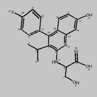 CC(C)c1c(NC(CO)C(=O)O)nc2cc(O)ccc2c1-c1ccc(F)cc1